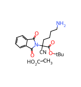 CC(=O)O.CC(C)(C)OC(=O)C(C#N)(CCCCN)N1C(=O)c2ccccc2C1=O